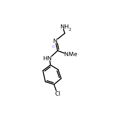 CN/C(=N\CN)Nc1ccc(Cl)cc1